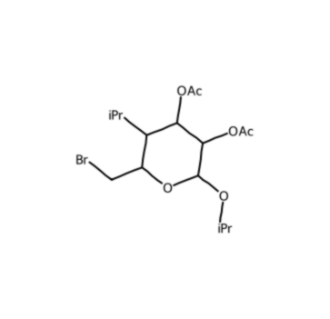 CC(=O)OC1C(OC(C)C)OC(CBr)C(C(C)C)C1OC(C)=O